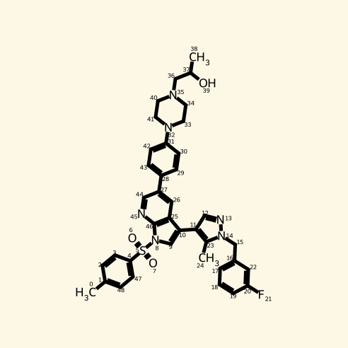 Cc1ccc(S(=O)(=O)n2cc(-c3cnn(Cc4cccc(F)c4)c3C)c3cc(-c4ccc(N5CCN(CC(C)O)CC5)cc4)cnc32)cc1